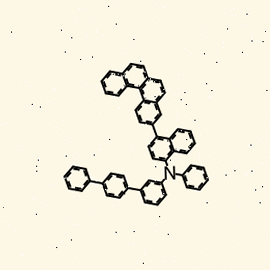 c1ccc(-c2ccc(-c3cccc(N(c4ccccc4)c4ccc(-c5ccc6c(ccc7ccc8ccccc8c76)c5)c5ccccc45)c3)cc2)cc1